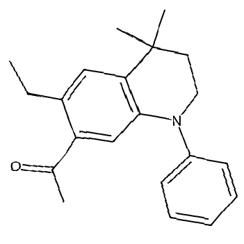 CCc1cc2c(cc1C(C)=O)N(c1ccccc1)CCC2(C)C